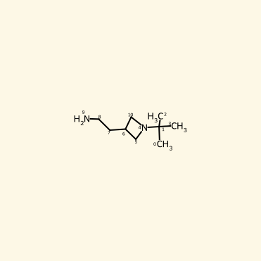 CC(C)(C)N1CC(CCN)C1